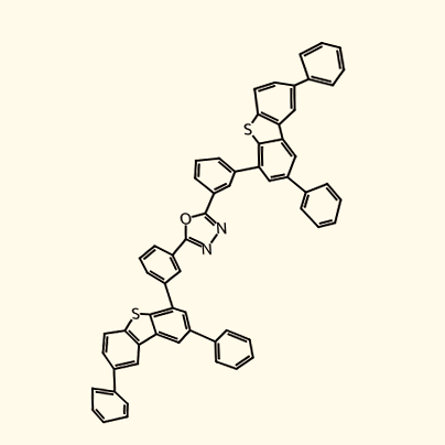 c1ccc(-c2ccc3sc4c(-c5cccc(-c6nnc(-c7cccc(-c8cc(-c9ccccc9)cc9c8sc8ccc(-c%10ccccc%10)cc89)c7)o6)c5)cc(-c5ccccc5)cc4c3c2)cc1